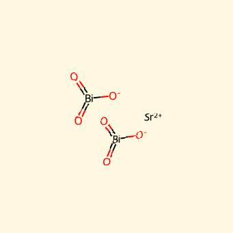 [O]=[Bi](=[O])[O-].[O]=[Bi](=[O])[O-].[Sr+2]